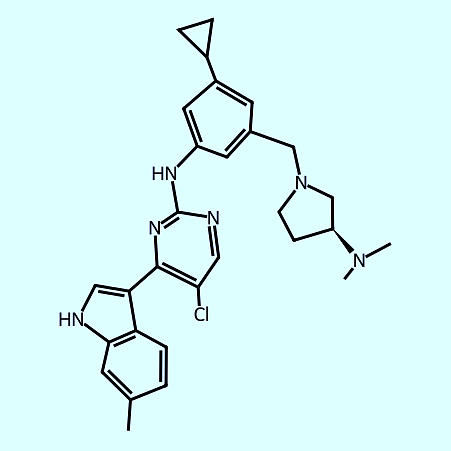 Cc1ccc2c(-c3nc(Nc4cc(CN5CC[C@H](N(C)C)C5)cc(C5CC5)c4)ncc3Cl)c[nH]c2c1